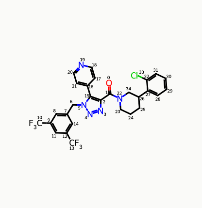 O=C(c1nnn(Cc2cc(C(F)(F)F)cc(C(F)(F)F)c2)c1-c1ccncc1)N1CCCC(c2ccccc2Cl)C1